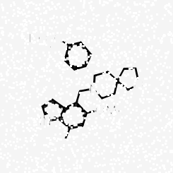 COc1cc(C)c2[nH]ccc2c1CN1CCC2(CCOC2)C[C@H]1c1ccc(C(=O)O)cc1